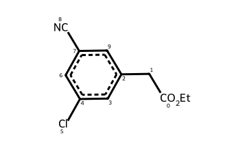 CCOC(=O)Cc1cc(Cl)cc(C#N)c1